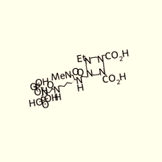 CCN1CCN(CC(=O)O)CCN(CC(=O)O)CCN(CC(=O)N[C@H](CCCCNC(=O)CN(CP(=O)(O)O)CP(=O)(O)O)C(=O)NC)CC1